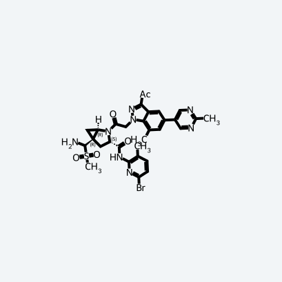 CC(=O)c1nn(CC(=O)N2[C@H](C(=O)Nc3nc(Br)ccc3C)C[C@]3(C(N)S(C)(=O)=O)C[C@@H]23)c2c(C)cc(-c3cnc(C)nc3)cc12